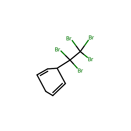 BrC(Br)(Br)C(Br)(Br)C1C=CCC=C1